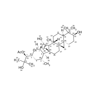 CC(=O)O[C@@H]([C@H]1C[C@@H](C)[C@H]2[C@@H](O1)[C@H](O)[C@@]1(C)[C@@H]3CC[C@H]4C(C)(C)[C@@H](O)CC[C@@]45C[C@@]35CC[C@]21C)C(C)(C)O